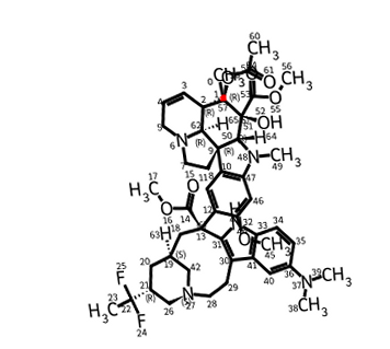 CC[C@]12C=CCN3CC[C@@]4(c5cc([C@@]6(C(=O)OC)C[C@@H]7C[C@@H](C(C)(F)F)C[N@](CCc8c6[nH]c6ccc(N(C)C)cc86)C7)c(OC)cc5N(C)[C@H]4[C@@](O)(C(=O)OC)[C@@H]1OC(C)=O)[C@@H]32